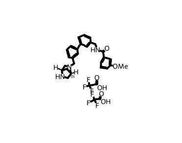 COc1cccc(C(=O)NCc2cccc(-c3cccc(CN4C[C@@H]5C[C@H]4CN5)c3)c2)c1.O=C(O)C(F)(F)F.O=C(O)C(F)(F)F